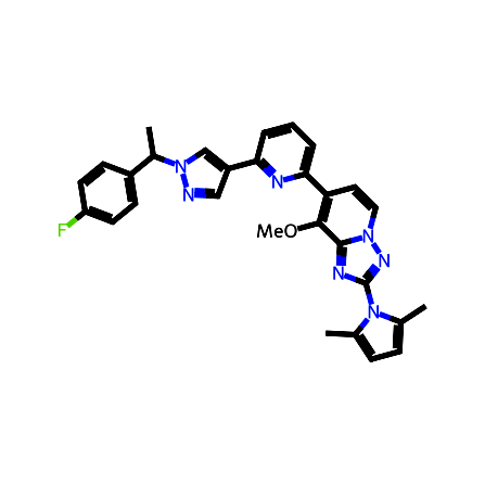 COc1c(-c2cccc(-c3cnn(C(C)c4ccc(F)cc4)c3)n2)ccn2nc(-n3c(C)ccc3C)nc12